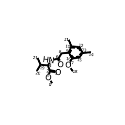 COC(=O)C(NC(=O)Cc1c(C)cc(C)cc1OC)C(C)C